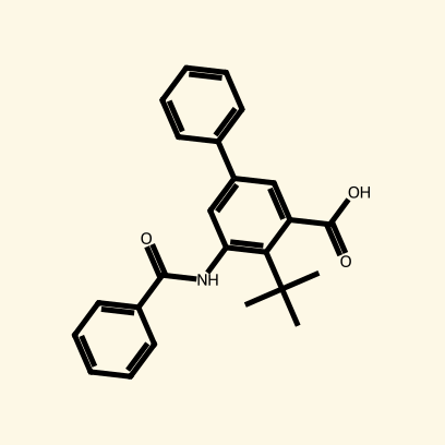 CC(C)(C)c1c(NC(=O)c2ccccc2)cc(-c2ccccc2)cc1C(=O)O